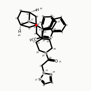 Cc1nc2ccccc2n1C1C[C@H]2CC[C@@H](C1)N2CCC1(c2ccccc2)CCN(C(=O)Cn2nccn2)CC1